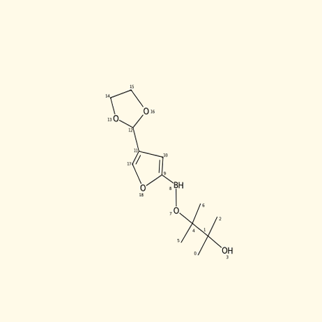 CC(C)(O)C(C)(C)OBc1cc(C2OCCO2)co1